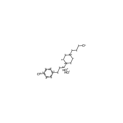 Cl.Cl.ClCCCN1CCN(CCCc2ccc(Cl)cc2)CC1